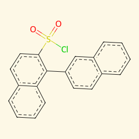 O=S(=O)(Cl)c1ccc2ccccc2c1-c1ccc2ccccc2c1